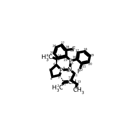 C=C(C)[C@@H]1CC[C@@H](CC)P1N(CCCC)P(c1ccccc1F)c1ccccc1F